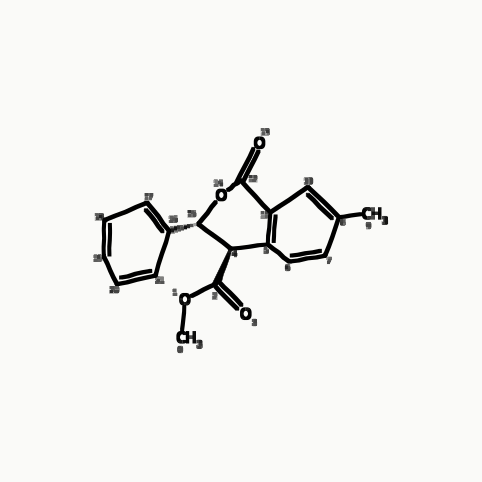 COC(=O)[C@@H]1c2ccc(C)cc2C(=O)O[C@H]1c1ccccc1